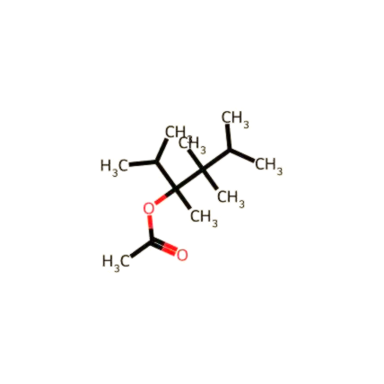 CC(=O)OC(C)(C(C)C)C(C)(C)C(C)C